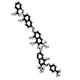 Nc1c(N=Nc2ccc3cc(S(=O)(=O)O)c(N=Nc4ccc(C(=O)O)cc4)c(O)c3c2)c(S(=O)(=O)O)cc2ccc(N=Nc3ccc4c(O)c(N=Nc5ccccc5C(=O)O)ccc4c3)c(O)c12